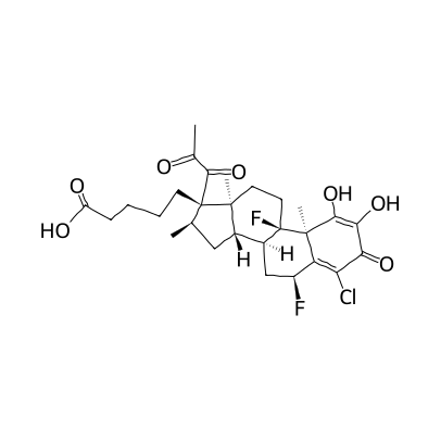 CC(=O)C(=O)[C@@]1(CCCCC(=O)O)[C@H](C)C[C@H]2[C@@H]3C[C@H](F)C4=C(Cl)C(=O)C(O)=C(O)[C@]4(C)[C@@]3(F)CC[C@@]21C